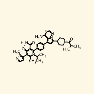 Cc1c(-c2ccnn2C)c(=O)c(C(N)=O)c(-c2ccc(-c3cc(C4CCN(C(=O)C(C)C)CC4)n4ncnc(N)c34)cc2)n1C(C)C